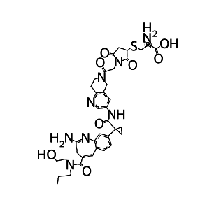 CCCN(CCO)C(=O)C1=Cc2ccc(C3(C(=O)Nc4cnc5c(c4)CN(C(=O)CN4C(=O)CC(SC[C@H](N)C(=O)O)C4=O)CC5)CC3)cc2N=C(N)C1